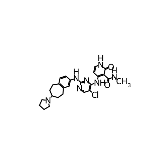 CNC(=O)c1c(Nc2nc(Nc3ccc4c(c3)CC[C@@H](N3CCCC3)CC4)ncc2Cl)cc[nH]c1=O